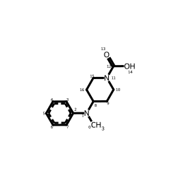 CN(c1ccccc1)C1CCN(C(=O)O)CC1